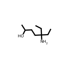 CCC(N)([CH]CC(C)O)CC